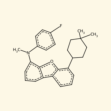 CN(c1ccc(F)cc1)c1cccc2c1oc1c(C3CCC(C)(C)CC3)cccc12